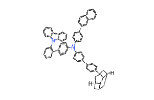 c1ccc(-n2c3ccccc3c3ccccc32)c(-c2ccc(N(c3ccc(-c4ccc(C56C[C@@H]7CC8C[C@@H](C5)C6C87)cc4)cc3)c3ccc(-c4ccc5ccccc5c4)cc3)cc2)c1